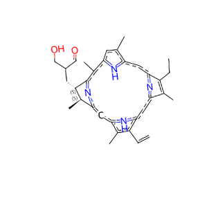 C=Cc1c(C)c2cc3nc(c(C)c4cc(C)c(cc5nc(cc1[nH]2)C(C)=C5CC)[nH]4)[C@@H](CC(C=O)CO)[C@@H]3C